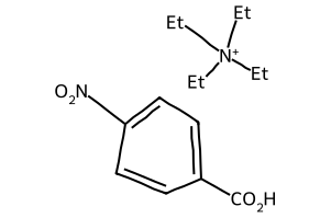 CC[N+](CC)(CC)CC.O=C(O)c1ccc([N+](=O)[O-])cc1